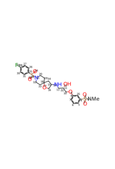 CNS(=O)(=O)c1cccc(OC[C@@H](O)CNC2COC3(CCN(S(=O)(=O)c4ccc(F)cc4)CC3)C2)c1